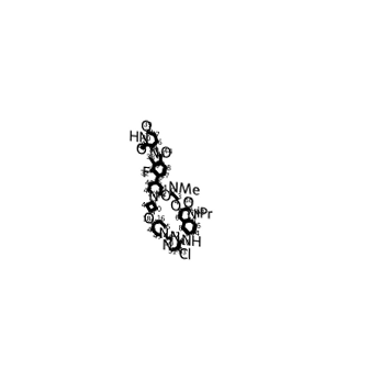 CNC(=O)COc1cc2cc(Nc3nc(N4CCC(OC5CC(N6CCC(c7ccc8c(c7F)CN([C@@H]7CCC(=O)NC7=O)C8=O)CC6)C5)CC4)ncc3Cl)ccc2n(C(C)C)c1=O